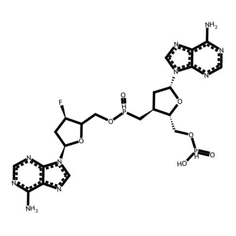 Nc1ncnc2c1ncn2[C@H]1C[C@@H](F)C(CO[PH](=O)C[C@H]2C[C@H](n3cnc4c(N)ncnc43)O[C@@H]2CO[PH](=O)O)O1